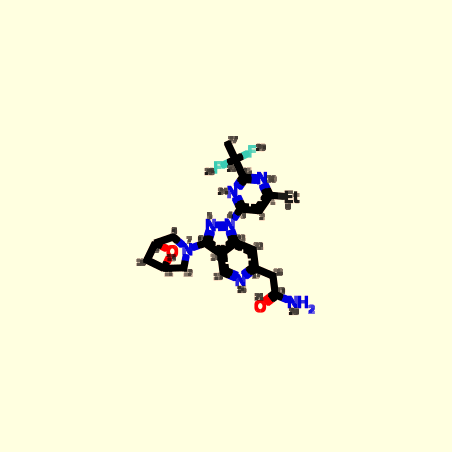 CCc1cc(-n2nc(N3CC4CC(C3)O4)c3cnc(CC(N)=O)cc32)nc(C(C)(F)F)n1